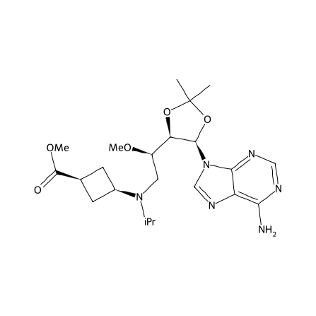 COC(=O)[C@H]1C[C@@H](N(C[C@@H](OC)[C@H]2OC(C)(C)O[C@H]2n2cnc3c(N)ncnc32)C(C)C)C1